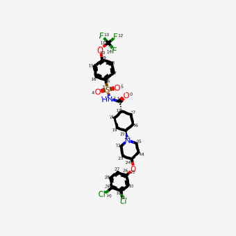 O=C(NS(=O)(=O)c1ccc(OC(F)(F)F)cc1)[C@H]1CC[C@H](N2CCC(Oc3ccc(Cl)c(Cl)c3)CC2)CC1